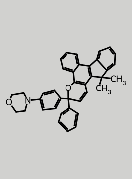 CC1(C)c2ccccc2-c2c1c1c(c3ccccc23)OC(c2ccccc2)(c2ccc(N3CCOCC3)cc2)C=C1